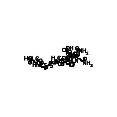 CC(=O)C(CCC(=O)O)NC(=O)Cc1ccc(-c2ccc(CNC(=O)[C@H](C)NC(=O)C(Cc3ccccc3)NC(=O)[C@H](CCC(=O)O)NC(=O)C(CCC(N)=O)NC(=O)[C@@H](N)CCC(N)=O)s2)s1